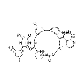 CCn1c(-c2cccnc2[C@H](C)OC)c2c3cc(ccc31)-c1cc(O)cc(c1)C[C@H](NC(=O)[C@H](C(C)C)N(C)C(=O)[C@H]1CN(C)C[C@H]1N)C(=O)N1CCC[C@H](N1)C(=O)OCC(C)(C)C2